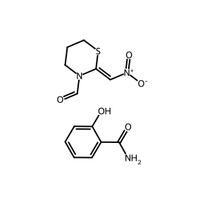 NC(=O)c1ccccc1O.O=CN1CCCS/C1=C\[N+](=O)[O-]